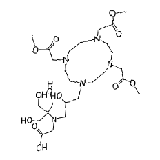 COC(=O)CN1CCN(CC(=O)OC)CCN(CC(O)CN(CC(=O)O)C(CO)(CO)CO)CCN(CC(=O)OC)CC1